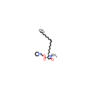 CCCCCCCC/C=C\CCCCCCC[C@@H]1[C@@H](C(=O)OCCN2CCCCC2)CC(=O)N1C